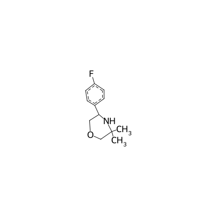 CC1(C)COCC(c2ccc(F)cc2)N1